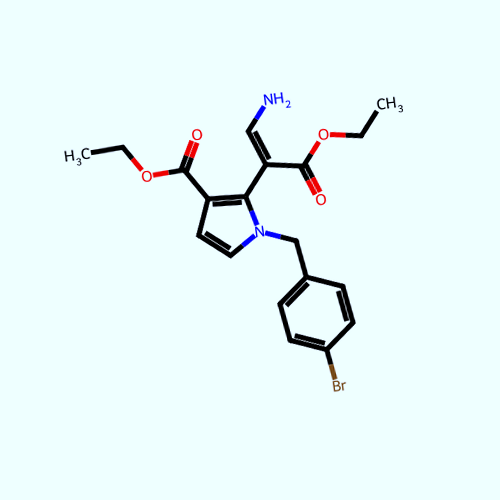 CCOC(=O)C(=CN)c1c(C(=O)OCC)ccn1Cc1ccc(Br)cc1